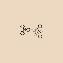 O=C1C(C=Cc2ccc(N(c3ccccc3)c3ccccc3)cc2)C(=O)N(c2ccccc2)C(=O)N1c1ccccc1